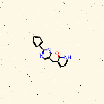 O=c1[nH]cccc1Cc1cnc(-c2ccccc2)nc1